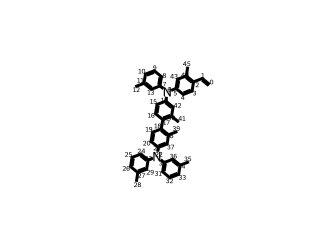 C=Cc1ccc(N(c2cccc(C)c2)c2ccc(-c3ccc(N(c4cccc(C)c4)c4cccc(C)c4)cc3C)c(C)c2)cc1C